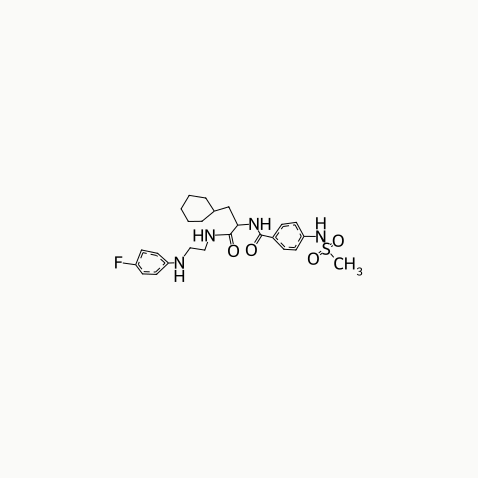 CS(=O)(=O)Nc1ccc(C(=O)NC(CC2CCCCC2)C(=O)NCCNc2ccc(F)cc2)cc1